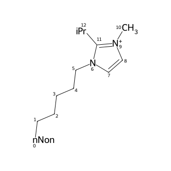 CCCCCCCCCCCCCCn1cc[n+](C)c1C(C)C